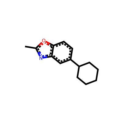 Cc1nc2cc(C3CCCCC3)ccc2o1